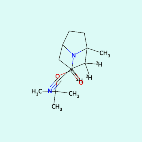 [2H]C1(C#N)CC2CCC(C)(N2C(=O)OC(C)(C)C)C1([2H])[2H]